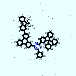 CC1(C)c2ccccc2-c2ccc(-c3ccc4c(c3)c3ccccc3c3ccc(-c5nc(-c6ccccc6)nc(-c6ccc7c(c6)C(c6ccccc6)(c6ccccc6)c6ccccc6-7)n5)cc34)cc21